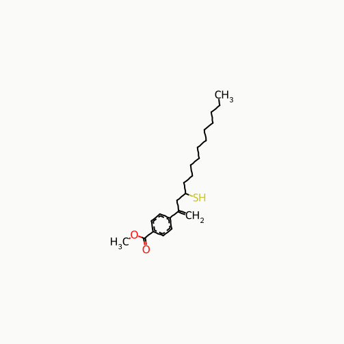 C=C(CC(S)CCCCCCCCCCC)c1ccc(C(=O)OC)cc1